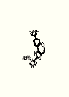 CC[C@@H](C)n1cnnc1-c1nc2c(s1)CCOc1cc(-c3cn[nH]c3)ccc1-2